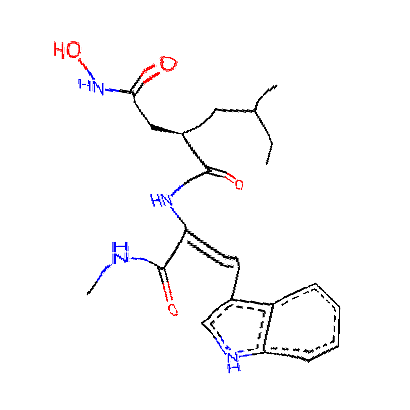 CNC(=O)/C(=C\c1c[nH]c2ccccc12)NC(=O)[C@@H](CC(=O)NO)CC(C)C